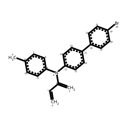 C=CC(=C)N(c1ccc(C)cc1)c1ccc(-c2ccc(Br)cc2)cc1